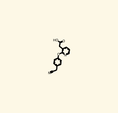 N#CCc1ccc(Oc2ncccc2CC(=O)O)cc1